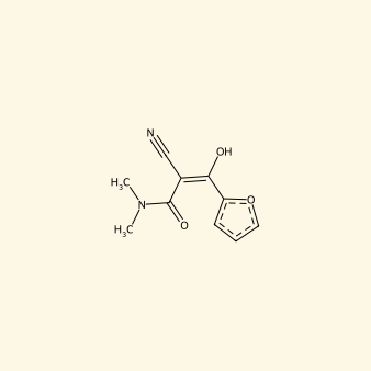 CN(C)C(=O)/C(C#N)=C(/O)c1ccco1